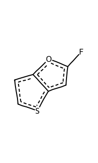 Fc1cc2sccc2o1